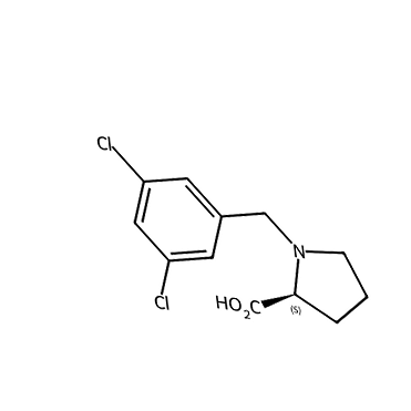 O=C(O)[C@@H]1CCCN1Cc1cc(Cl)cc(Cl)c1